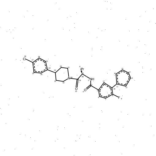 CC(C)[C@@H](NC(=O)c1ccc(F)c(-c2ccccc2)c1)C(=O)N1CCC(c2ccc(Cl)cc2)CC1